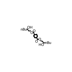 CCCCC(O)CCOC(=O)c1ccc(C(=O)OCCC(O)CCCC)cc1